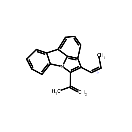 C=C(C)c1c(/C=C\C)c2cccc3c4ccccc4n1c23